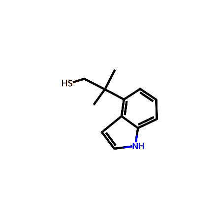 CC(C)(CS)c1cccc2[nH]ccc12